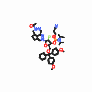 COc1ccc(C(OC[C@H]2O[C@@H](N3C=C4CCC5=C4C(=N3)C=NN(C(C)=O)C5)[C@@H](F)[C@@H]2OP(OCCC#N)N(C(C)C)C(C)C)(c2ccccc2)c2ccc(OC)cc2)cc1